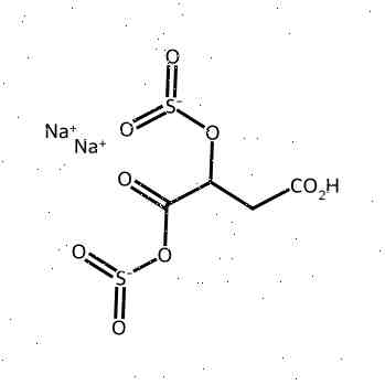 O=C(O)CC(O[S-](=O)=O)C(=O)O[S-](=O)=O.[Na+].[Na+]